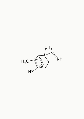 Cc1c2ccc(c1S)CC2(C)C=N